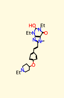 CCN1CCC(Oc2ccc(/C=C/c3nc4c(n3C)C(=O)N(CC)C(O)N4CC)cc2)CC1